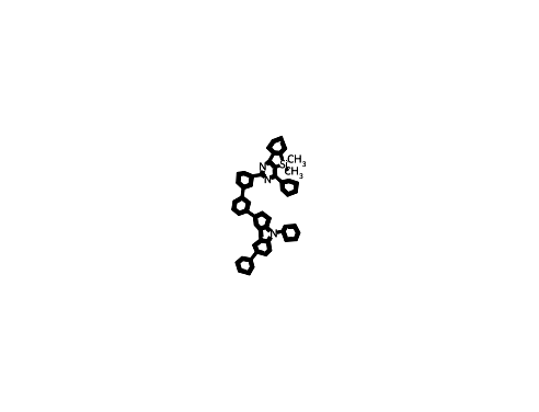 C[Si]1(C)c2ccccc2-c2nc(-c3cccc(-c4cccc(-c5ccc6c(c5)c5cc(-c7ccccc7)ccc5n6-c5ccccc5)c4)c3)nc(-c3ccccc3)c21